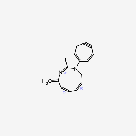 C=C1/C=C\C=C/CN(C2=CCC#CC=C2)/C(I)=N\1